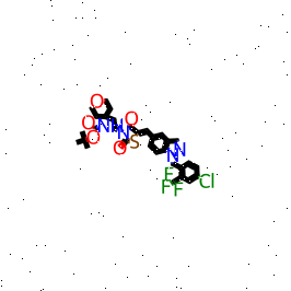 CC(C)(C)OC(=O)NC1(CCN2C(=O)S/C(=C\c3ccc4c(cnn4Cc4ccc(Cl)cc4C(F)(F)F)c3)C2=O)CCOCC1